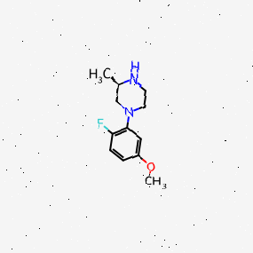 COc1ccc(F)c(N2CCN[C@H](C)C2)c1